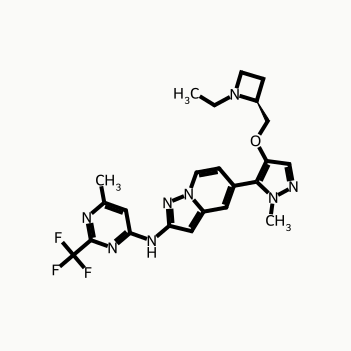 CCN1CC[C@H]1COc1cnn(C)c1-c1ccn2nc(Nc3cc(C)nc(C(F)(F)F)n3)cc2c1